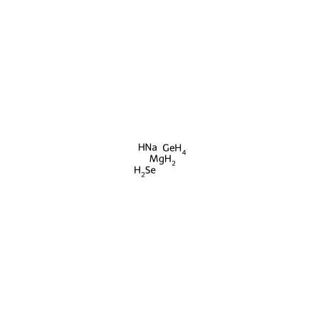 [GeH4].[MgH2].[NaH].[SeH2]